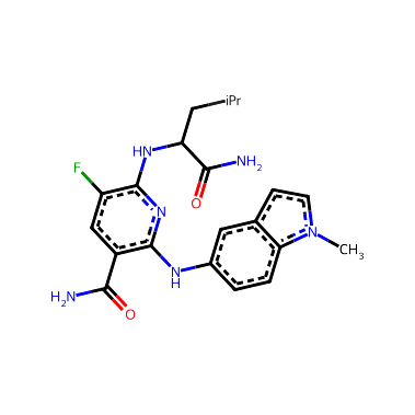 CC(C)CC(Nc1nc(Nc2ccc3c(ccn3C)c2)c(C(N)=O)cc1F)C(N)=O